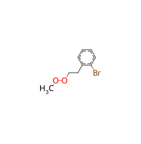 COOCCc1ccccc1Br